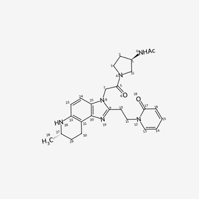 CC(=O)N[C@@H]1CCN(C(=O)Cn2c(CCn3ccccc3=O)nc3c4c(ccc32)N[C@@H](C)CC4)C1